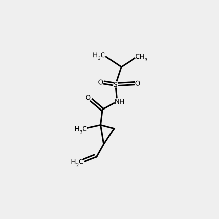 C=CC1CC1(C)C(=O)NS(=O)(=O)C(C)C